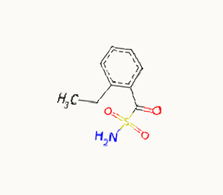 CCc1ccccc1C(=O)S(N)(=O)=O